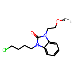 COCCn1c(=O)n(CCCCCl)c2ccccc21